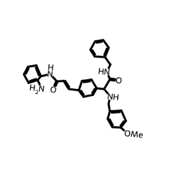 COc1ccc(CNC(C(=O)NCc2ccccc2)c2ccc(C=CC(=O)Nc3ccccc3N)cc2)cc1